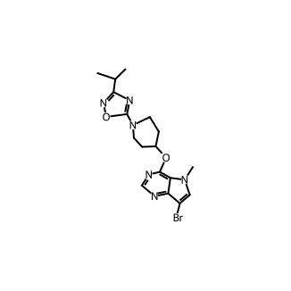 CC(C)c1noc(N2CCC(Oc3ncnc4c(Br)cn(C)c34)CC2)n1